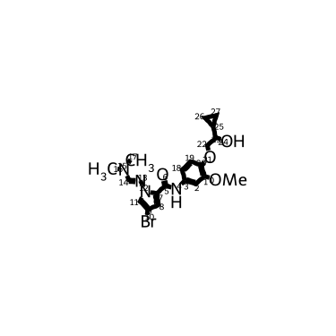 COc1cc(NC(=O)c2cc(Br)cn2N=CN(C)C)ccc1OCC(O)C1CC1